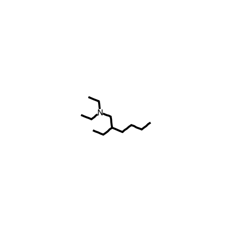 CCCCC(CC)CN(CC)CC